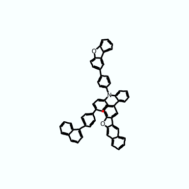 c1ccc(N(c2ccc(-c3ccc(-c4cccc5ccccc45)cc3)cc2)c2ccc(-c3ccc4oc5ccccc5c4c3)cc2)c(-c2ccc3oc4cc5ccccc5cc4c3c2)c1